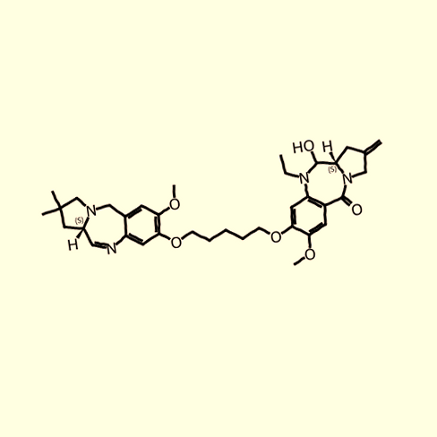 C=C1C[C@H]2C(O)N(CC)c3cc(OCCCCCOc4cc5c(cc4OC)CN4CC(C)(C)C[C@H]4C=N5)c(OC)cc3C(=O)N2C1